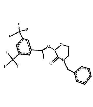 CC(OC1OCCN(Cc2ccccc2)C1=O)c1cc(C(F)(F)F)cc(C(F)(F)F)c1